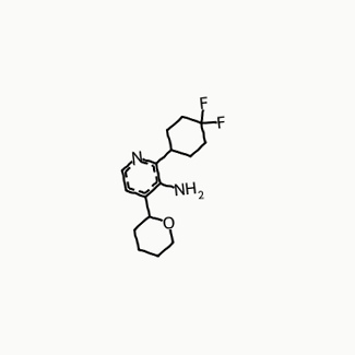 Nc1c(C2CCCCO2)ccnc1C1CCC(F)(F)CC1